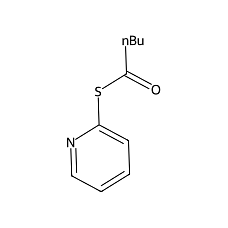 CCCCC(=O)Sc1ccccn1